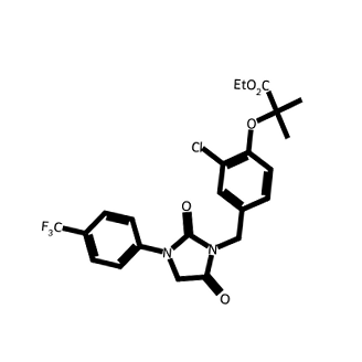 CCOC(=O)C(C)(C)Oc1ccc(CN2C(=O)CN(c3ccc(C(F)(F)F)cc3)C2=O)cc1Cl